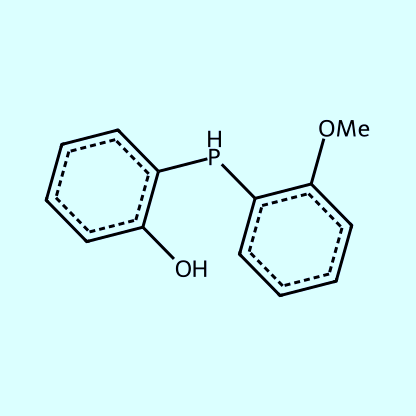 COc1ccccc1Pc1ccccc1O